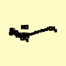 CCCCCCCCCCCCCCCCCC(C)(C)NCc1ccc([N+](=O)[O-])cc1.Cl